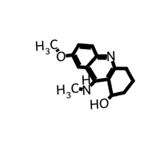 CNc1c2c(nc3ccc(OC)cc13)CCCC2O